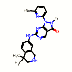 CCn1c(=O)c2cnc(Nc3ccc4c(c3)CNCC4(C)C)nc2n1-c1cccc(C(C)(C)C)n1